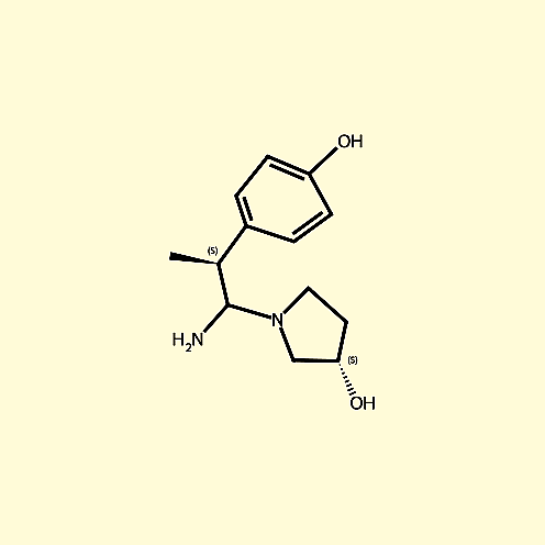 C[C@@H](c1ccc(O)cc1)C(N)N1CC[C@H](O)C1